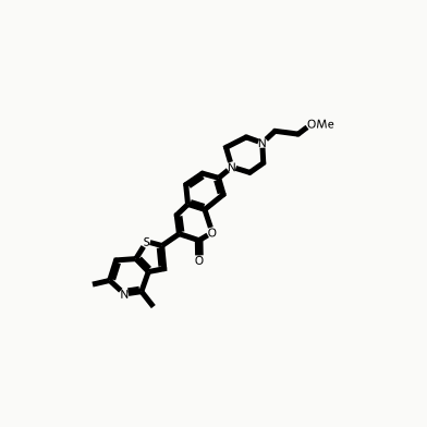 COCCN1CCN(c2ccc3cc(-c4cc5c(C)nc(C)cc5s4)c(=O)oc3c2)CC1